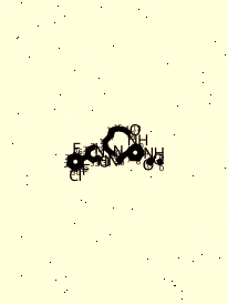 COC(=O)Nc1ccc2c(c1)NC(=O)CC/C=C/C[C@H](N1CCC(c3c(F)ccc(Cl)c3F)CC1=O)c1nc-2c[nH]1